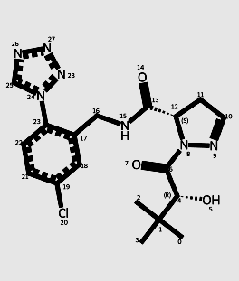 CC(C)(C)[C@@H](O)C(=O)N1N=CC[C@H]1C(=O)NCc1cc(Cl)ccc1-n1cnnn1